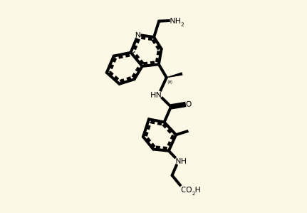 Cc1c(NCC(=O)O)cccc1C(=O)N[C@H](C)c1cc(CN)nc2ccccc12